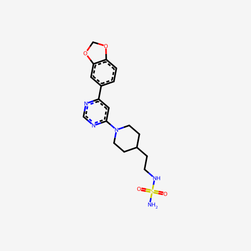 NS(=O)(=O)NCCC1CCN(c2cc(-c3ccc4c(c3)OCO4)ncn2)CC1